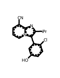 CC(C)c1nc2c(C#N)cccn2c1-c1cc(O)ccc1Cl